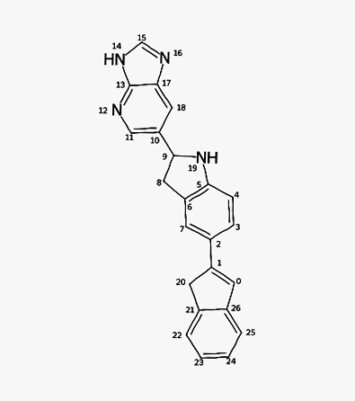 C1=C(c2ccc3c(c2)CC(c2cnc4[nH]cnc4c2)N3)Cc2ccccc21